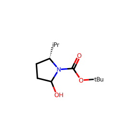 CC(C)[C@H]1CCC(O)N1C(=O)OC(C)(C)C